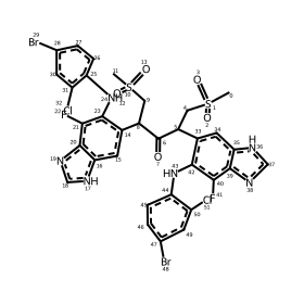 CS(=O)(=O)CC(C(=O)C(CS(C)(=O)=O)c1cc2[nH]cnc2c(F)c1Nc1ccc(Br)cc1Cl)c1cc2[nH]cnc2c(F)c1Nc1ccc(Br)cc1Cl